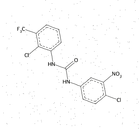 O=C(Nc1ccc(Cl)c([N+](=O)[O-])c1)Nc1cccc(C(F)(F)F)c1Cl